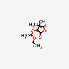 CCOC(C)OC1C(=O)OCC1(C)C